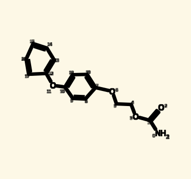 NC(=O)OCCOc1ccc(Oc2ccccc2)cc1